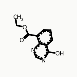 CCOC(=O)c1cccc2c(O)ncnc12